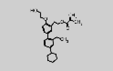 C=C(C)C(=O)OCCc1cc(-c2ccc(C3CCCCC3)cc2CC)ccc1OCCO